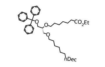 CCCCCCCCCCCCCCCCOC[C@H](COC(c1ccccc1)(c1ccccc1)c1ccccc1)OCCCCCCC(=O)OCC